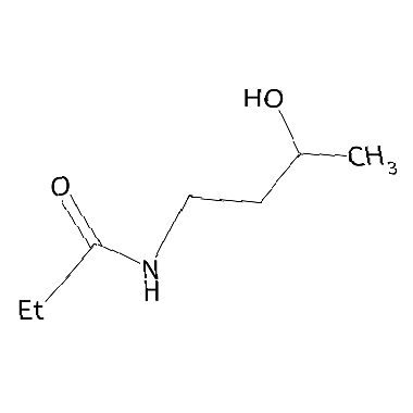 CCC(=O)NCCC(C)O